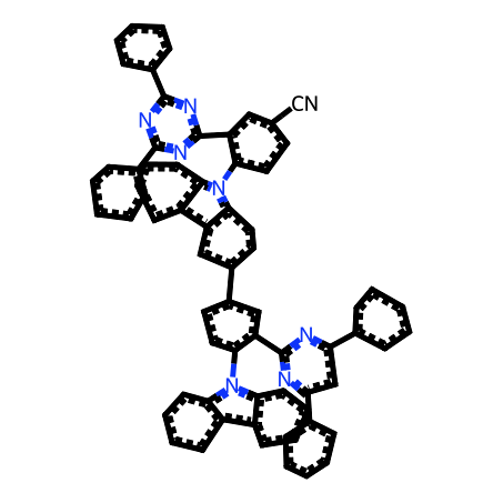 N#Cc1ccc(-n2c3ccccc3c3cc(-c4ccc(-n5c6ccccc6c6ccccc65)c(-c5nc(-c6ccccc6)cc(-c6ccccc6)n5)c4)ccc32)c(-c2nc(-c3ccccc3)nc(-c3ccccc3)n2)c1